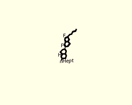 C/C=C/CCc1cc2ccc([C@@H]3CC[C@@H]4CC(CCCCCCC)CCC4C3)c(F)c2cc1F